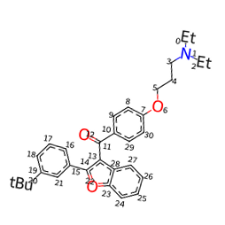 CCN(CC)CCCOc1ccc(C(=O)c2c(-c3cccc(C(C)(C)C)c3)oc3ccccc23)cc1